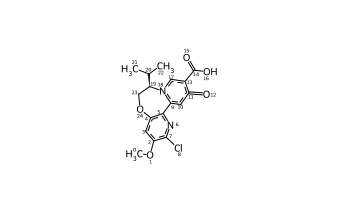 COc1cc2c(nc1Cl)-c1cc(=O)c(C(=O)O)cn1[C@H](C(C)C)CO2